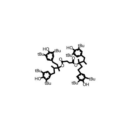 CC(Cc1cc(C(C)(C)C)c(O)c(C(C)(C)C)c1)C(C)(CCc1cc(C(C)(C)C)c(O)c(C(C)(C)C)c1)OC(=O)CCC(=O)OC(C)(CCc1cc(C(C)(C)C)c(O)c(C(C)(C)C)c1)C(C)Cc1cc(C(C)(C)C)c(O)c(C(C)(C)C)c1